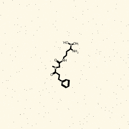 CN(CC(=O)NCCCC(N)B(O)O)C(=O)CCc1ccccc1